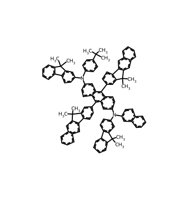 CC(C)(C)c1ccc(N(c2ccc3c(c2)C(C)(C)c2ccccc2-3)c2ccc3c(-c4ccc5c(c4)C(C)(C)c4cc6ccccc6cc4-5)c4cc(N(c5ccc6c(c5)C(C)(C)c5ccccc5-6)c5ccc6ccccc6c5)ccc4c(-c4ccc5c(c4)C(C)(C)c4cc6ccccc6cc4-5)c3c2)cc1